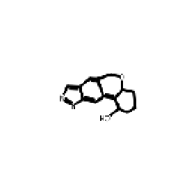 OC1CCCC2OCc3cc4c(cc3=C12)N=NC=4